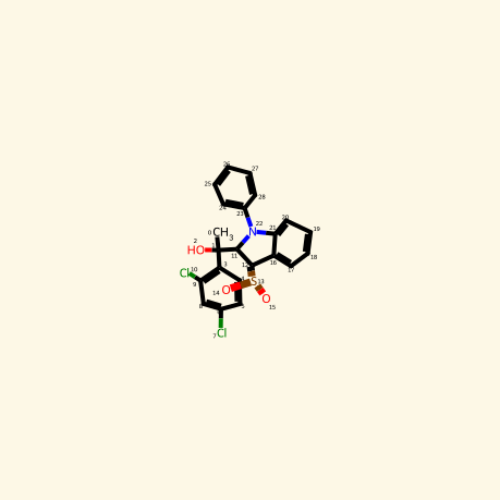 CC(O)(c1ccc(Cl)cc1Cl)C1C(=S(=O)=O)c2ccccc2N1c1ccccc1